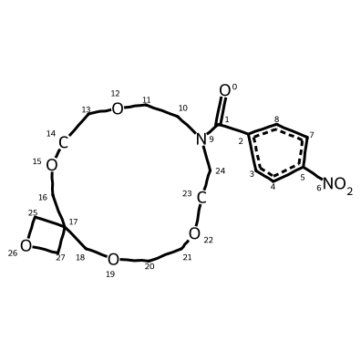 O=C(c1ccc([N+](=O)[O-])cc1)N1CCOCCOCC2(COCCOCC1)COC2